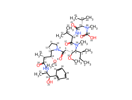 CC[C@H](C)[C@@H]([C@@H](CC(=O)N1CCC[C@H]1[C@H](OC)[C@@H](C)C(=O)N[C@H](C)[C@H](O)c1ccccc1)OC)N(C)C(=O)[C@@H](NC(=O)[C@H](C(C)C)N(C)C(=O)O)C(C)C